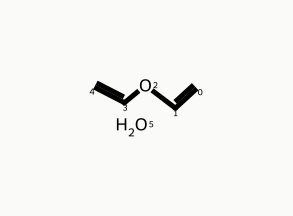 C=COC=C.O